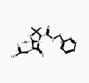 CC1(C)S[C@@H]2[C@H](CC(=O)O)C(=O)N2[C@H]1C(=O)OCc1ccccc1